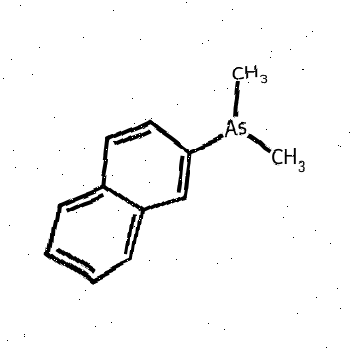 C[As](C)c1ccc2ccccc2c1